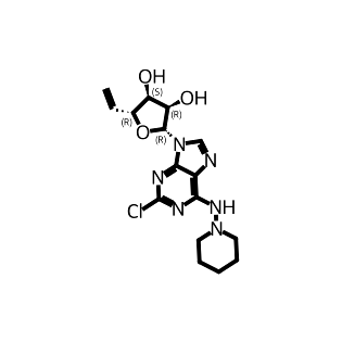 C=C[C@H]1O[C@@H](n2cnc3c(NN4CCCCC4)nc(Cl)nc32)[C@H](O)[C@@H]1O